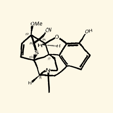 CO[C@]12C=C[C@@]3(S[C@@H]1C#N)[C@H]1Cc4ccc(O)c5c4[C@@]3(CCN1C)[C@H]2O5